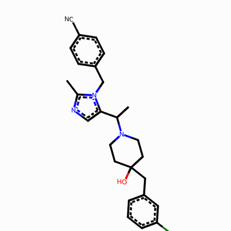 Cc1ncc(C(C)N2CCC(O)(Cc3cccc(Cl)c3)CC2)n1Cc1ccc(C#N)cc1